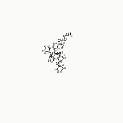 CCOC(=O)C1(c2ccc(-c3ccccc3)c(-c3onc(C)c3Nc3cccc(Oc4ccccc4)n3)c2)CC1